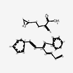 C=C(CCC1CO1)C(=O)O.C=CC=CC(C=Cc1ccccc1)=Cc1ccccc1